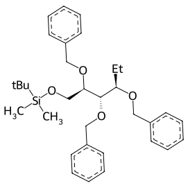 CC[C@@H](OCc1ccccc1)[C@H](OCc1ccccc1)[C@@H](CO[Si](C)(C)C(C)(C)C)OCc1ccccc1